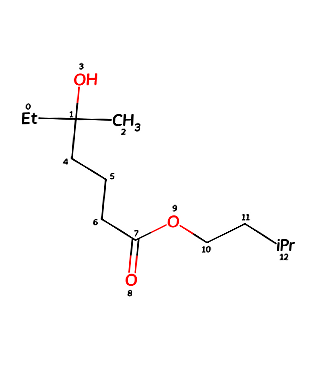 CCC(C)(O)CCCC(=O)OCCC(C)C